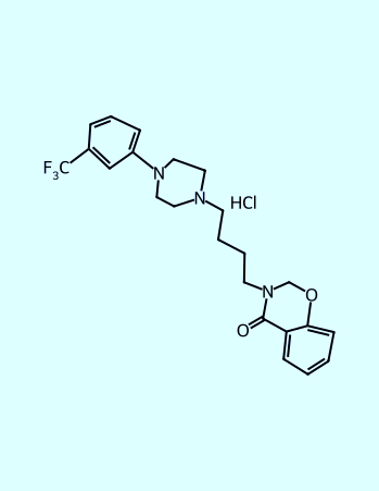 Cl.O=C1c2ccccc2OCN1CCCCN1CCN(c2cccc(C(F)(F)F)c2)CC1